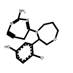 NC1=NC#CCC(N2CCCOCC2c2cc(O)ccc2Cl)=N1